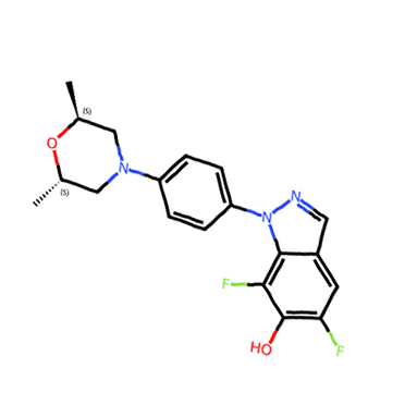 C[C@H]1CN(c2ccc(-n3ncc4cc(F)c(O)c(F)c43)cc2)C[C@H](C)O1